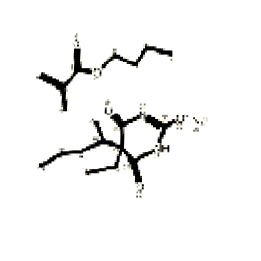 C=C(C)C(=O)OCCCC.CCCC(C)C1(CC)C(=O)N=C([O-])NC1=O.[Na+]